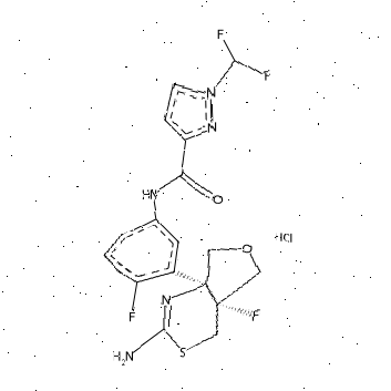 Cl.NC1=N[C@@]2(c3cc(NC(=O)c4ccn(C(F)F)n4)ccc3F)COC[C@@]2(F)CS1